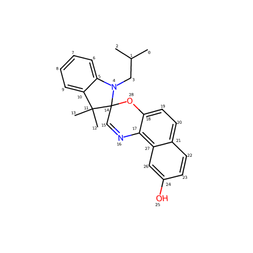 CC(C)CN1c2ccccc2C(C)(C)C12C=Nc1c(ccc3ccc(O)cc13)O2